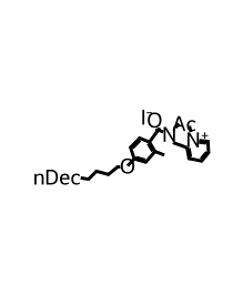 CCCCCCCCCCCCCCOc1ccc(C(=O)N(Cc2cccc[n+]2C)C(C)=O)c(C)c1.[I-]